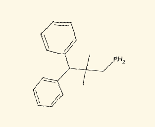 CC(C)(CP)C(c1ccccc1)c1ccccc1